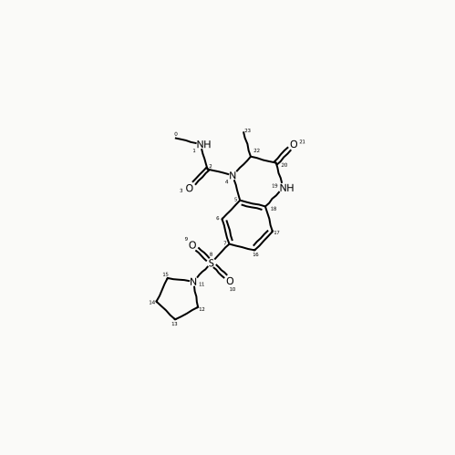 CNC(=O)N1c2cc(S(=O)(=O)N3CCCC3)ccc2NC(=O)C1C